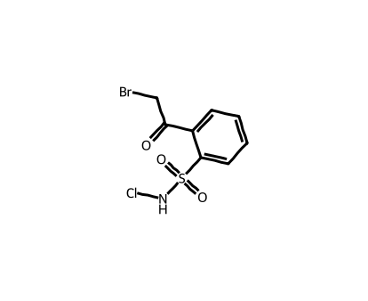 O=C(CBr)c1ccccc1S(=O)(=O)NCl